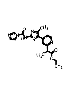 CCOC(=O)C(C)c1cc(-c2sc(NC(=O)n3ccnc3)nc2C)ccn1